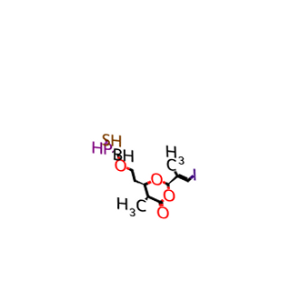 C/C(=C\I)[C@H]1OC(=O)[C@@H](C)[C@@H](CCOBPS)O1